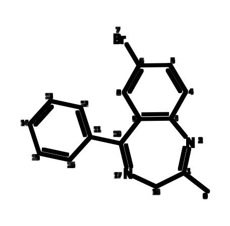 CC1=Nc2ccc(Br)cc2C(c2ccccc2)=NC1